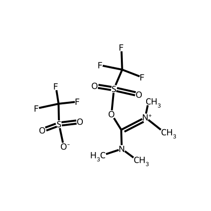 CN(C)C(OS(=O)(=O)C(F)(F)F)=[N+](C)C.O=S(=O)([O-])C(F)(F)F